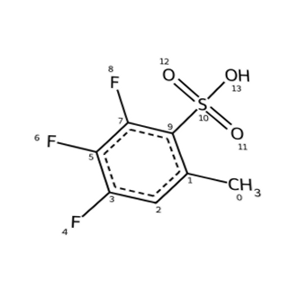 Cc1cc(F)c(F)c(F)c1S(=O)(=O)O